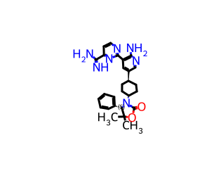 CC1(C)OC(=O)N([C@H]2CC[C@H](c3cnc(N)c(-c4nccc(C(=N)N)n4)c3)CC2)[C@H]1c1ccccc1